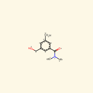 CCCN(CCC)C(=O)c1cc(CO)cc(C(=O)O)c1